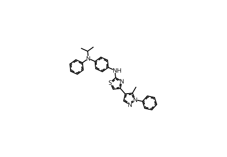 Cc1c(-c2csc(Nc3ccc(N(c4ccccc4)C(C)C)cc3)n2)cnn1-c1ccccc1